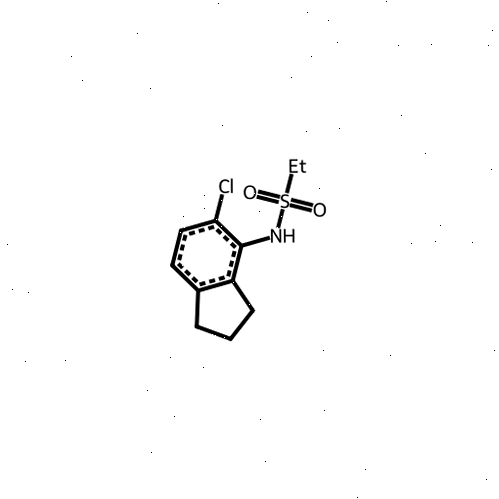 CCS(=O)(=O)Nc1c(Cl)ccc2c1CCC2